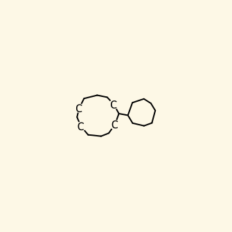 C1CCCCCC(C2CCCCCCC2)CCCCC1